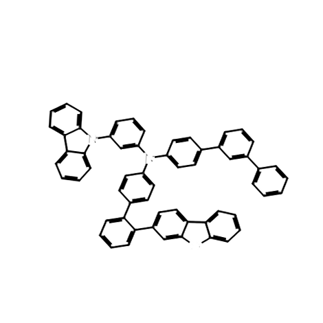 c1ccc(-c2cccc(-c3ccc(N(c4ccc(-c5ccccc5-c5ccc6c(c5)oc5ccccc56)cc4)c4cccc(-n5c6ccccc6c6ccccc65)c4)cc3)c2)cc1